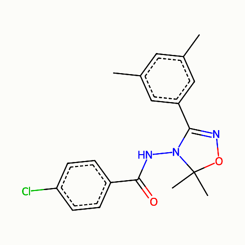 Cc1cc(C)cc(C2=NOC(C)(C)N2NC(=O)c2ccc(Cl)cc2)c1